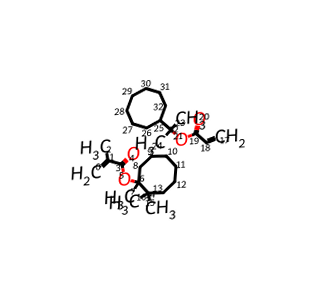 C=C(C)C(=O)OC1(C)CCCCCCC1(C)C.C=CC(=O)OC(C)(C)C1CCCCCCC1